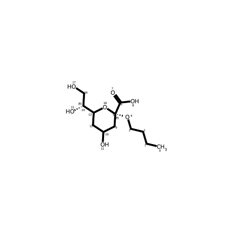 CCCCO[C@]1(C(=O)O)CC(O)CC([C@H](O)CO)O1